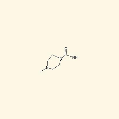 CN1CCN(C([NH])=O)CC1